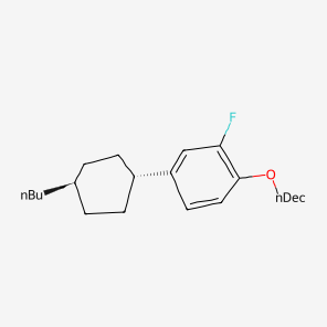 CCCCCCCCCCOc1ccc([C@H]2CC[C@H](CCCC)CC2)cc1F